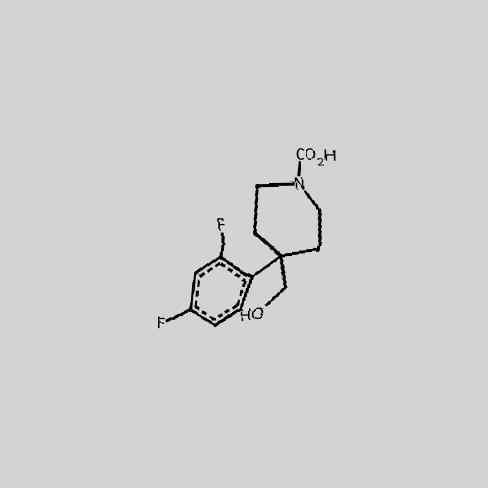 O=C(O)N1CCC(CO)(c2ccc(F)cc2F)CC1